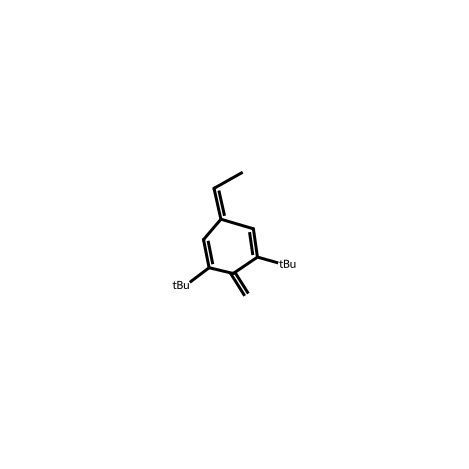 C=c1c(C(C)(C)C)cc(=CC)cc1C(C)(C)C